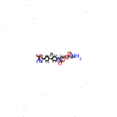 Cc1nc(-c2ccc(-c3ccc(N4C[C@H](COC(=O)CN)OC4=O)cc3F)cc2)oc1C